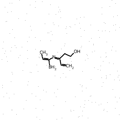 BC(=C/C)/N=C(\C=C)CCO